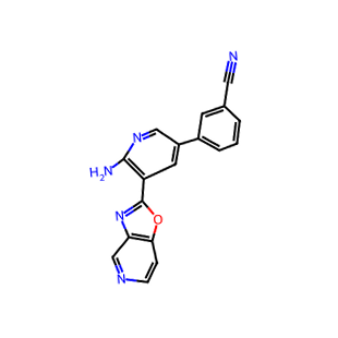 N#Cc1cccc(-c2cnc(N)c(-c3nc4cnccc4o3)c2)c1